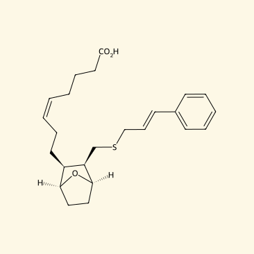 O=C(O)CCC/C=C\CC[C@H]1[C@@H](CSCC=Cc2ccccc2)[C@H]2CC[C@@H]1O2